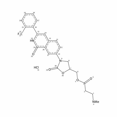 CNCCC(=O)OCC1CN(c2ccc3cc(-c4ccccc4C(F)(F)F)[nH]c(=O)c3c2)C(=O)O1.Cl